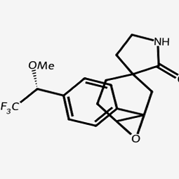 CO[C@H](c1ccc(C23CC4(CCNC4=O)CCC2O3)cc1)C(F)(F)F